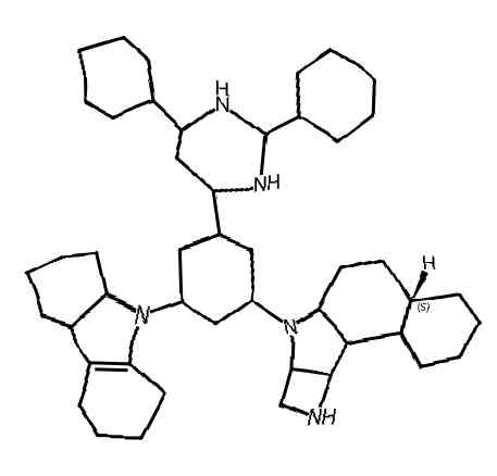 C1CCC(C2CC(C3CC(N4C5=C(CCCC5)C5CCCCC54)CC(N4C5CNC5C5C6CCCC[C@H]6CCC54)C3)NC(C3CCCCC3)N2)CC1